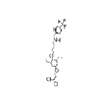 CCc1cc(OCC=C(Cl)Cl)cc(CC)c1OCCCCNCc1ccc(C(F)(F)F)cn1